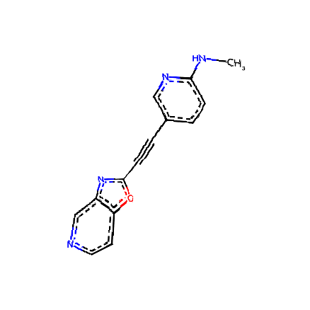 CNc1ccc(C#Cc2nc3cnccc3o2)cn1